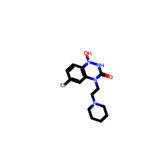 O=C1NN(O)c2ccc(Cl)cc2N1CCN1CC[CH]CC1